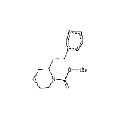 CC(C)(C)OC(=O)N1CCOCC1CCc1ccccc1